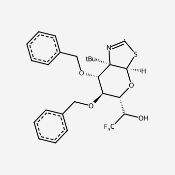 CC(C)(C)[C@]12N=[C]S[C@H]1O[C@H](C(O)C(F)(F)F)[C@@H](OCc1ccccc1)[C@@H]2OCc1ccccc1